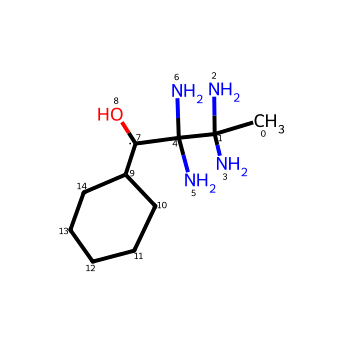 CC(N)(N)C(N)(N)[C](O)C1CCCCC1